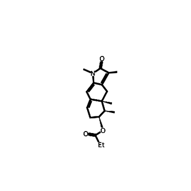 CCC(=O)O[C@H]1CC=C2C=C3C(=C(C)C(=O)N3C)C[C@]2(C)[C@H]1C